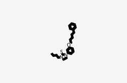 CCCCN1CCN(c2cccc(OCCCCCc3ccccc3)c2)C1=S